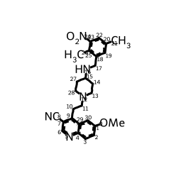 COc1ccc2ncc(C#N)c(CCN3CCC(NCc4cc(C)cc([N+](=O)[O-])c4C)CC3)c2c1